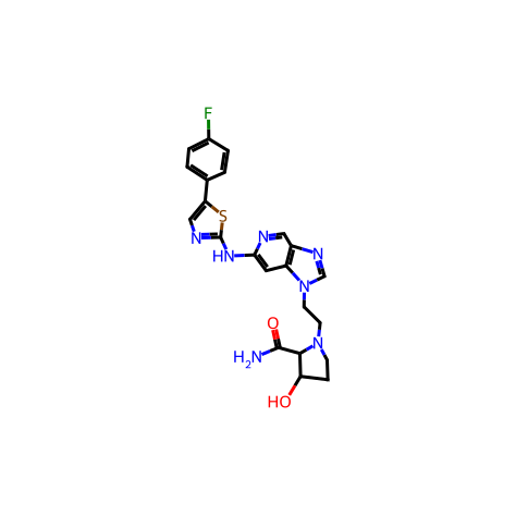 NC(=O)C1C(O)CCN1CCn1cnc2cnc(Nc3ncc(-c4ccc(F)cc4)s3)cc21